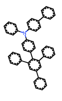 c1ccc(-c2ccc(N(c3ccccc3)c3ccc(-c4c(-c5ccccc5)cc(-c5ccccc5)cc4-c4ccccc4)cc3)cc2)cc1